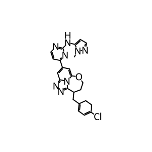 Cn1nccc1Nc1nccc(-c2cc3n4c(nnc4c2)C(CC2=CC=C(Cl)CC2)CCO3)n1